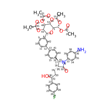 CC(=O)OCC1OC(c2cccc(-c3ccc([C@@H]4[C@@H](CC[C@H](O)c5ccc(F)cc5)C(=O)N4c4ccc(N)cc4)cc3)c2)C(OC(C)=O)C(OC(C)=O)C1OC(C)=O